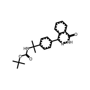 CC(C)(C)OC(=O)NC(C)(C)c1ccc(-c2n[nH]c(=O)c3ccccc23)cc1